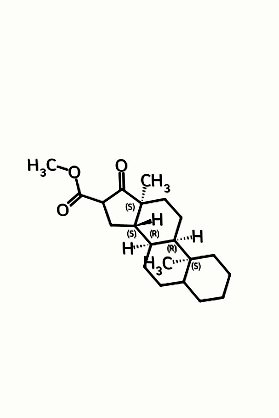 COC(=O)C1C[C@H]2[C@@H]3CCC4CCCC[C@]4(C)[C@@H]3CC[C@]2(C)C1=O